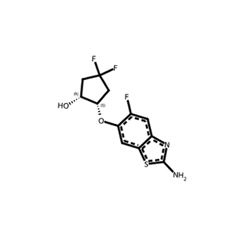 Nc1nc2cc(F)c(O[C@H]3CC(F)(F)C[C@H]3O)cc2s1